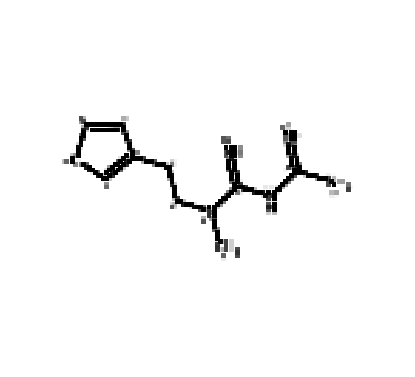 CN(CCc1ccoc1)C(=N)NC(=N)N